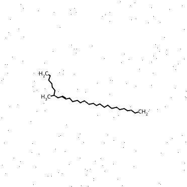 [CH2]CCCCCCCCCCCCCCCCCC/C=C/CC(C)CCCCC[CH2]